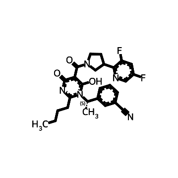 CCCCc1nc(=O)c(C(=O)N2CCC(c3ncc(F)cc3F)C2)c(O)n1[C@@H](C)c1cccc(C#N)c1